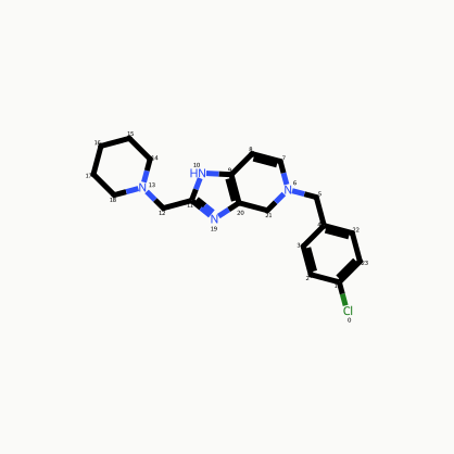 Clc1ccc(CN2C=Cc3[nH]c(CN4CCCCC4)nc3C2)cc1